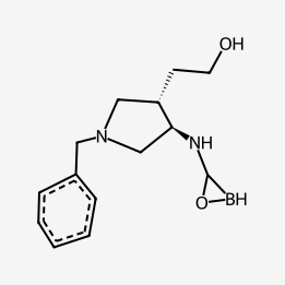 OCC[C@H]1CN(Cc2ccccc2)C[C@@H]1NC1BO1